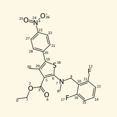 CCOC(=O)c1c(N(C)Cc2c(F)cccc2F)sc(-c2ccc([N+](=O)[O-])cc2)c1C